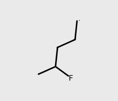 [CH2]CCC(C)F